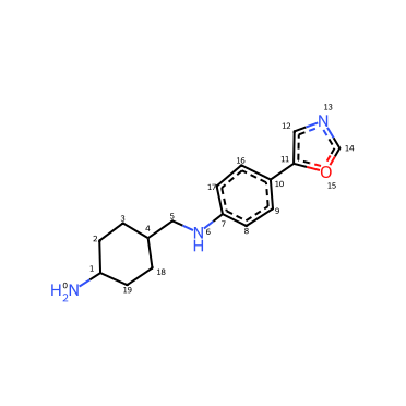 NC1CCC(CNc2ccc(-c3cnco3)cc2)CC1